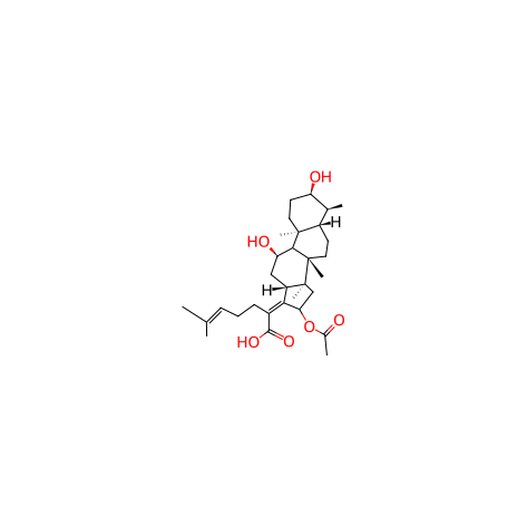 CC(=O)OC1C[C@@]2(C)[C@@H](C[C@@H](O)C3[C@]2(C)CC[C@H]2[C@H](C)[C@H](O)CC[C@]32C)/C1=C(\CCC=C(C)C)C(=O)O